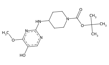 COc1nc(NC2CCN(C(=O)OC(C)(C)C)CC2)ncc1O